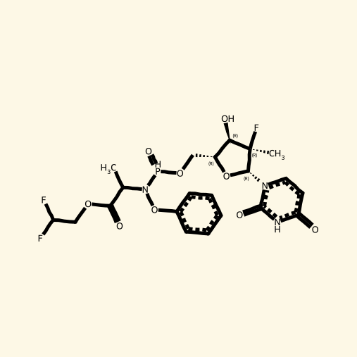 CC(C(=O)OCC(F)F)N(Oc1ccccc1)[PH](=O)OC[C@H]1O[C@@H](n2ccc(=O)[nH]c2=O)[C@](C)(F)[C@@H]1O